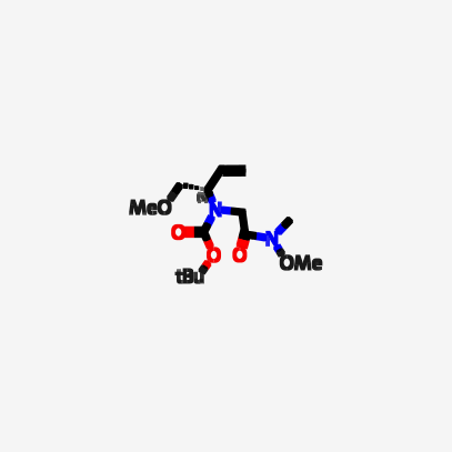 C=C[C@@H](COC)N(CC(=O)N(C)OC)C(=O)OC(C)(C)C